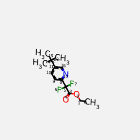 CCOC(=O)C(F)(F)c1ccc(C(C)(C)C)cn1